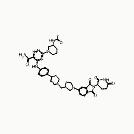 CC(=O)NC1CCCN(c2nnc(C(N)=O)c(Nc3ccc(C4CCN(CC5CCN(c6ccc7c(c6)C(=O)N(C6CCC(=O)NC6=O)C7=O)C5)CC4)cc3)n2)C1